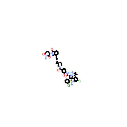 COc1cc(C(=O)N2CCC[C@@]3(C[C@H]3C#Cc3cccc4c3CN([C@H]3CCC(=O)NC3=O)C4=O)C2)ccc1NC(=O)[C@@H]1N[C@@H](CC(C)(C)C)[C@@]2(CNc3cc(Cl)ccc32)[C@H]1c1cccc(Cl)c1F